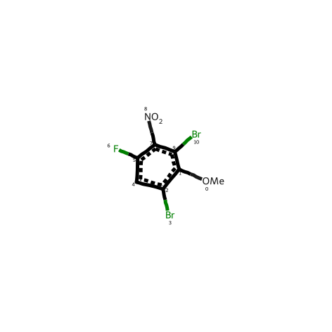 COc1c(Br)cc(F)c([N+](=O)[O-])c1Br